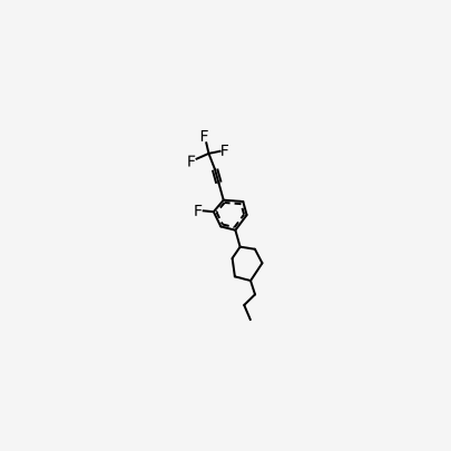 CCCC1CCC(c2ccc(C#CC(F)(F)F)c(F)c2)CC1